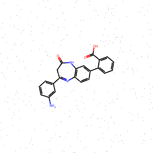 Nc1cccc(C2=Nc3ccc(-c4ccccc4C(=O)O)cc3NC(=O)C2)c1